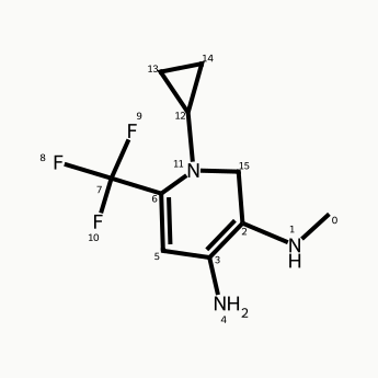 CNC1=C(N)C=C(C(F)(F)F)N(C2CC2)C1